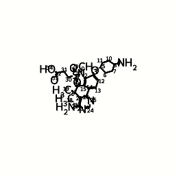 CN(c1c(O[C@H]2CC[C@H](N)CC2)ccc2c1CC(C)(C)c1c(N)ncnc1-2)S(=O)(=O)CCC(=O)O